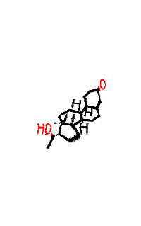 CC(O)[C@H]1CC[C@H]2[C@@H]3CCC4=CC(=O)CC[C@@H]4[C@H]3CC[C@]12C